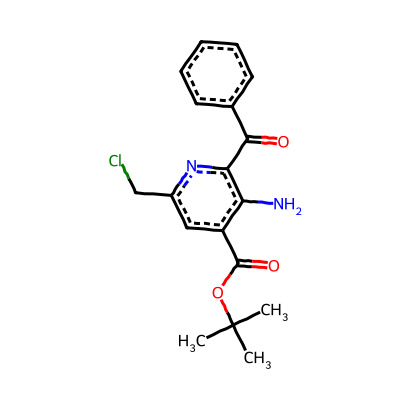 CC(C)(C)OC(=O)c1cc(CCl)nc(C(=O)c2ccccc2)c1N